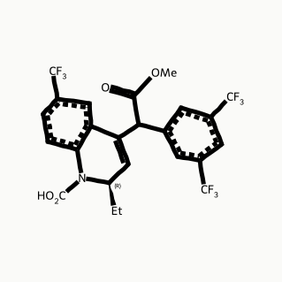 CC[C@@H]1C=C(C(C(=O)OC)c2cc(C(F)(F)F)cc(C(F)(F)F)c2)c2cc(C(F)(F)F)ccc2N1C(=O)O